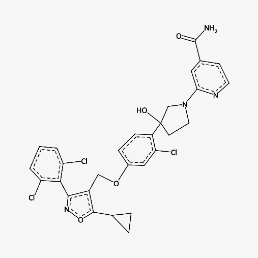 NC(=O)c1ccnc(N2CCC(O)(c3ccc(OCc4c(-c5c(Cl)cccc5Cl)noc4C4CC4)cc3Cl)C2)c1